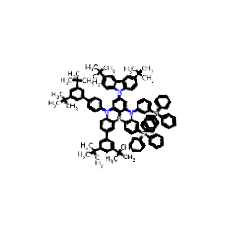 CC(C)(C)c1cc(-c2ccc(N3c4ccc(-c5cc(C(C)(C)C)cc(C(C)(C)C)c5)cc4B4c5ccc([Si](c6ccccc6)(c6ccccc6)c6ccccc6)cc5N(c5cccc([Si](c6ccccc6)(c6ccccc6)c6ccccc6)c5)c5cc(-n6c7ccc(C(C)(C)C)cc7c7cc(C(C)(C)C)ccc76)cc3c54)cc2)cc(C(C)(C)C)c1